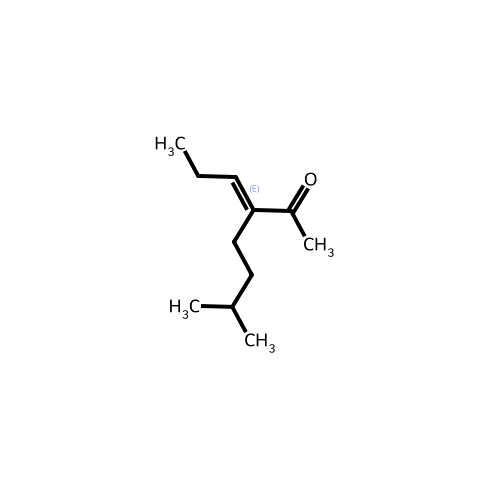 CC/C=C(\CCC(C)C)C(C)=O